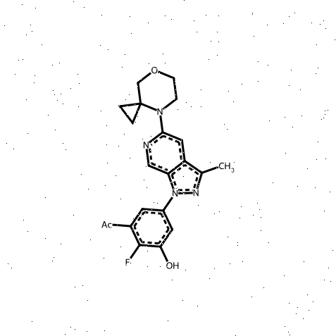 CC(=O)c1cc(-n2nc(C)c3cc(N4CCOCC45CC5)ncc32)cc(O)c1F